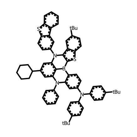 CC(C)(C)c1ccc(N(c2ccc(C(C)(C)C)cc2)c2ccc3c(c2)N(c2ccccc2)c2cc(C4CCCCC4)cc4c2B3c2sc3ccc(C(C)(C)C)cc3c2N4c2ccc3sc4ccccc4c3c2)cc1